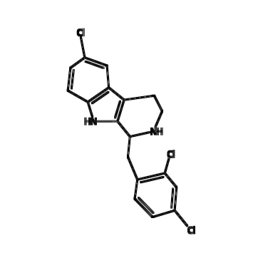 Clc1ccc(CC2NCCc3c2[nH]c2ccc(Cl)cc32)c(Cl)c1